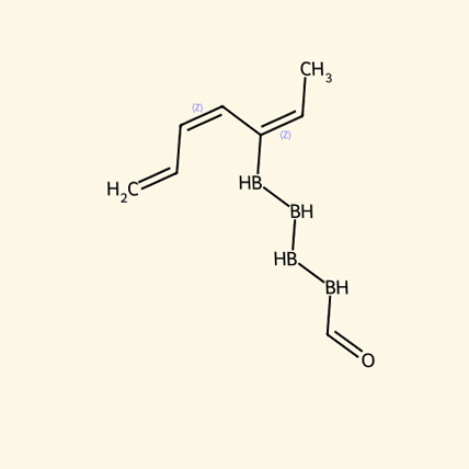 C=C/C=C\C(BBBBC=O)=C/C